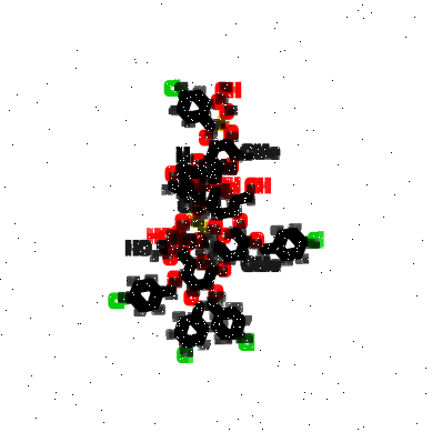 CCC1(C(=O)O)O[C@@H](O[C@@H]2C(CO)O[C@@H](O[C@H]3C(OC)[C@H]4OCC3(C(=O)O)O[C@H]4O[C@@H]3C(CO)O[C@H](OC)C(OSOOO)[C@H]3OCc3ccc(Cl)cc3)C(OSOOO)[C@H]2OSOOO)C(OCc2ccc(Cl)cc2)[C@@H](OC)[C@@H]1O[C@@H]1OC(COS(=O)(=O)O)[C@@H](OCc2ccc(Cl)cc2)[C@H](OCc2ccc(Cl)cc2)C1OCc1ccc(Cl)cc1